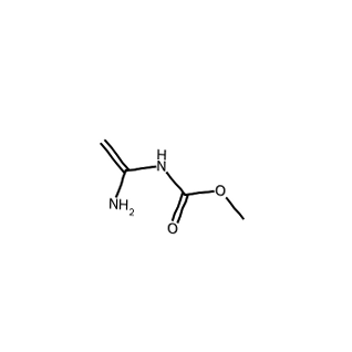 C=C(N)NC(=O)OC